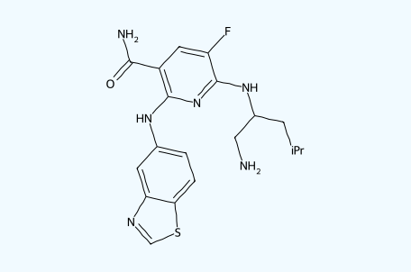 CC(C)CC(CN)Nc1nc(Nc2ccc3scnc3c2)c(C(N)=O)cc1F